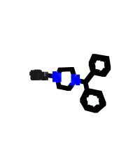 CC(C)(C)N1CCN(C(c2ccccc2)c2ccccc2)CC1